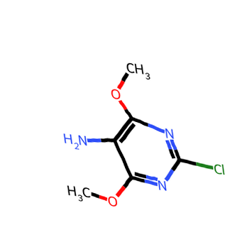 COc1nc(Cl)nc(OC)c1N